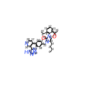 CCCCc1cn(-c2c(CC)cccc2C(C)=O)c(=O)n1Cc1ccc(-c2ccncc2-c2nnn[nH]2)cc1